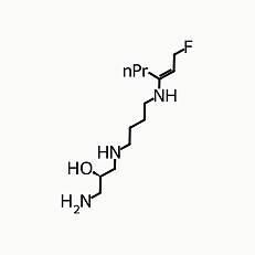 CCC/C(=C\CF)NCCCCNC[C@H](O)CN